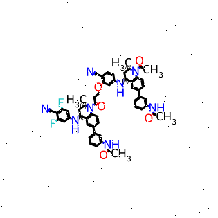 CC(=O)Nc1cccc(-c2ccc3c(c2)[C@H](Nc2ccc(C#N)c(OCCC(=O)N4c5ccc(-c6cccc(NC(C)=O)c6)cc5[C@H](Nc5cc(F)c(C#N)c(F)c5)C[C@@H]4C)c2)C[C@H](C)N3C(C)=O)c1